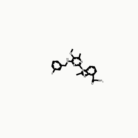 COc1c(C)nc(-n2c(C)nc3c(C(N)=O)cccc32)nc1NCc1cccc(F)c1